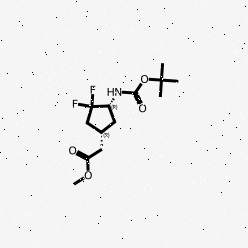 COC(=O)C[C@H]1C[C@@H](NC(=O)OC(C)(C)C)C(F)(F)C1